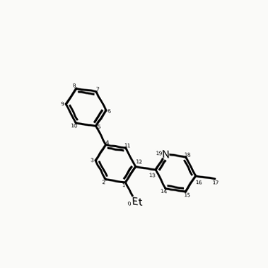 CCc1ccc(-c2ccccc2)cc1-c1ccc(C)cn1